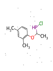 Cc1ccc(OC(C)PCl)c(C)c1